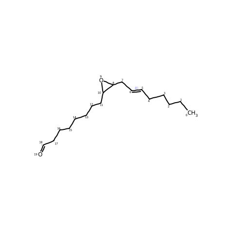 CCCCC/C=C/CC1OC1CCCCCCC[C]=O